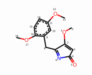 COC1=CC(=O)N=C1Cc1cc(OC)ccc1OC